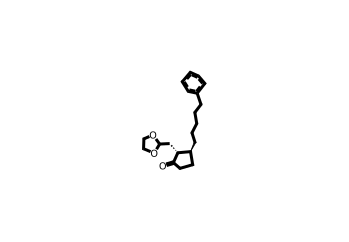 O=C1CC[C@H](CCCCCc2ccccc2)[C@H]1CC1OCCO1